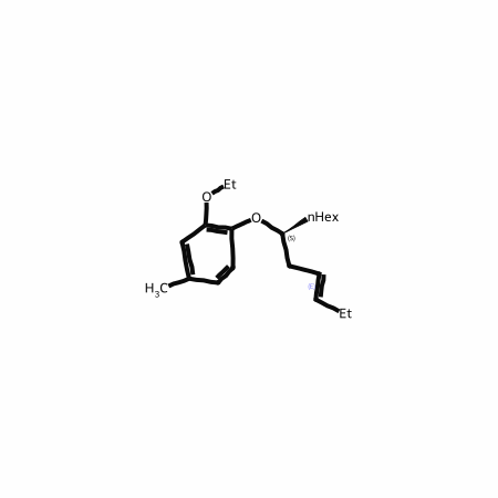 CC/C=C/C[C@H](CCCCCC)Oc1ccc(C)cc1OCC